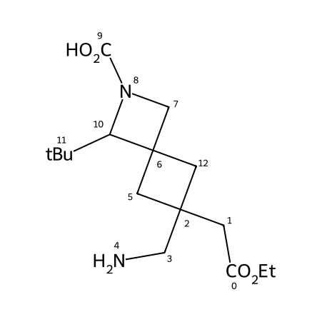 CCOC(=O)CC1(CN)CC2(CN(C(=O)O)C2C(C)(C)C)C1